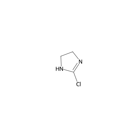 ClC1=NCCN1